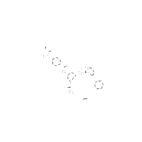 C=CC(=O)Nc1ccc(C(=O)Nc2cc3cc(c2)C(=O)NCC/C=C\COc2cccc(c2)-c2ccnc(n2)N3)cc1